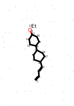 C=C/C=C/C1CCC(C2CCC(OCC)CC2)CC1